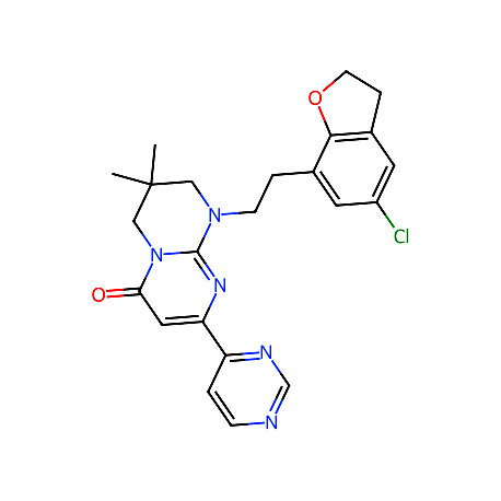 CC1(C)CN(CCc2cc(Cl)cc3c2OCC3)c2nc(-c3ccncn3)cc(=O)n2C1